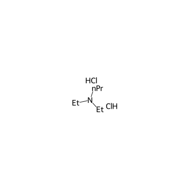 CCCN(CC)CC.Cl.Cl